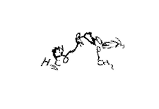 C=CCCOc1cc(-c2nc(CCC(=O)c3ncccc3C)co2)ccc1OC